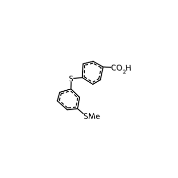 CSc1cccc(Sc2ccc(C(=O)O)cc2)c1